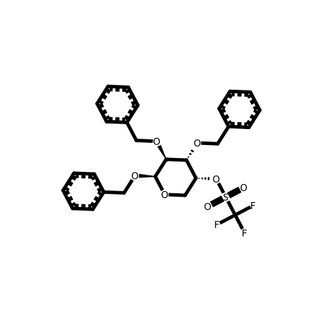 O=S(=O)(O[C@@H]1CO[C@@H](OCc2ccccc2)[C@@H](OCc2ccccc2)[C@@H]1OCc1ccccc1)C(F)(F)F